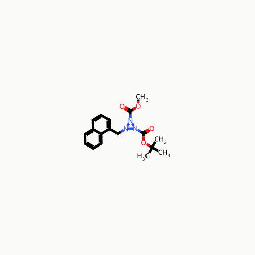 COC(=O)n1n(Cc2cccc3ccccc23)n1C(=O)OC(C)(C)C